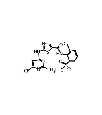 Cc1nc(Cl)cc(Nc2ncc(C(=O)Nc3c(Cl)cccc3S(C)(=O)=O)s2)n1